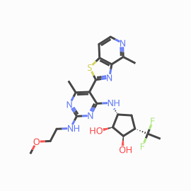 COCCNc1nc(C)c(-c2nc3c(C)nccc3s2)c(N[C@@H]2C[C@H](C(C)(F)F)[C@@H](O)[C@H]2O)n1